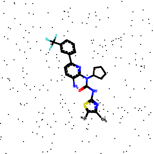 Cc1nc(NC(=O)N(c2nc(-c3cccc(C(F)(F)F)c3)ccc2N)C2CCCC2)sc1C